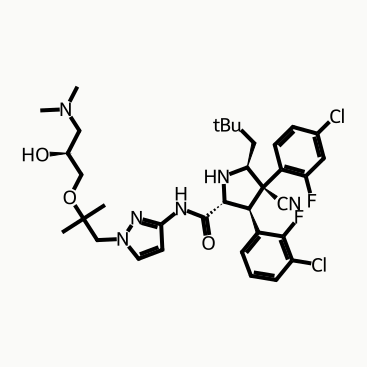 CN(C)C[C@H](O)COC(C)(C)Cn1ccc(NC(=O)[C@@H]2N[C@@H](CC(C)(C)C)[C@](C#N)(c3ccc(Cl)cc3F)[C@H]2c2cccc(Cl)c2F)n1